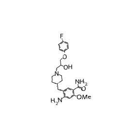 COc1cc(N)c(CC2CCN(CC(O)COc3ccc(F)cc3)CC2)cc1C(N)=O